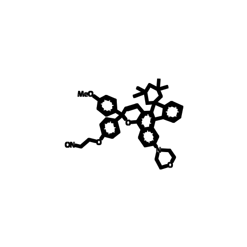 COc1ccc(C2(c3ccc(OCCN=O)cc3)C=Cc3c4c(c5cc(N6CCOCC6)ccc5c3O2)-c2ccccc2C42CC(C)(C)CC(C)(C)C2)cc1